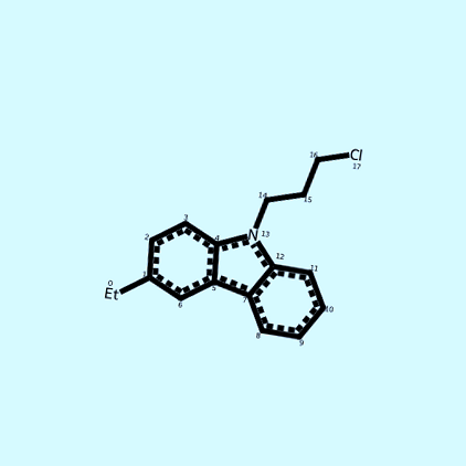 CCc1ccc2c(c1)c1ccccc1n2CCCCl